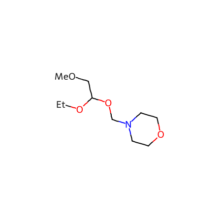 CCOC(COC)OCN1CCOCC1